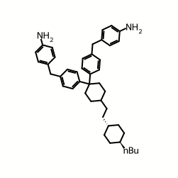 CCCC[C@H]1CC[C@H](CCC2CCC(c3ccc(Cc4ccc(N)cc4)cc3)(c3ccc(Cc4ccc(N)cc4)cc3)CC2)CC1